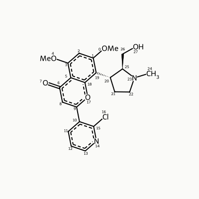 COc1cc(OC)c2c(=O)cc(-c3cccnc3Cl)oc2c1[C@H]1CCN(C)[C@@H]1CO